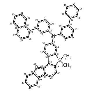 CS1(C)c2cc(N(c3cccc(-c4ccccc4)c3)c3cccc(-c4cccc5ccccc45)c3)ccc2-c2c1ccc1c2oc2ccccc21